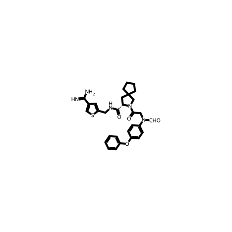 N=C(N)c1csc(CNC(=O)[C@@H]2CC3(CCCC3)CN2C(=O)CN(C=O)c2ccc(Oc3ccccc3)cc2)c1